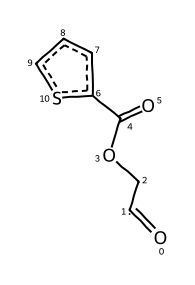 O=[C]COC(=O)c1cccs1